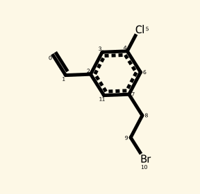 C=Cc1cc(Cl)cc(CCBr)c1